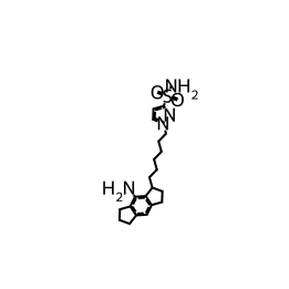 Nc1c2c(cc3c1C(CCCCCCn1ccc(S(N)(=O)=O)n1)CC3)CCC2